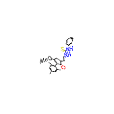 COC1=C(c2c(C)cc(C)cc2C)C(=O)C(CCNC(=S)Nc2ccccc2)C1